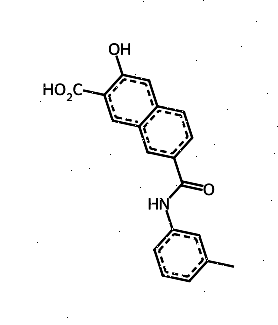 Cc1cccc(NC(=O)c2ccc3cc(O)c(C(=O)O)cc3c2)c1